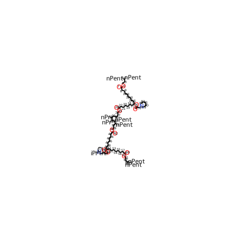 CCCCCC(CCCCC)CCOC(=O)CCCCCCCCC(CCCCCCC(=O)OCCC(CCCCC)CC(CCC)C(CCC)CC(CCCCC)CCOC(=O)CCCCCCCC1(CCCCCCCC(=O)OCCC(CCCCC)CCCCC)OCC(CN(C)C(C)C)O1)OC(=O)CN1CCCCC1